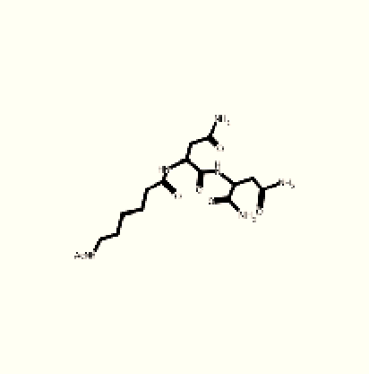 CC(=O)NCCCCCC(=O)NC(CC(N)=O)C(=O)NC(CC(N)=O)C(N)=O